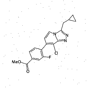 COC(=O)c1ccc(-c2ccn3c(CC4CC4)nnc3c2Cl)c(F)c1